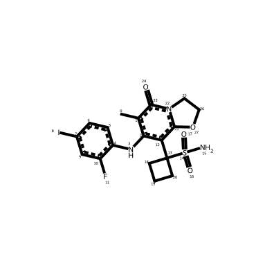 Cc1c(Nc2ccc(I)cc2F)c(C2(S(N)(=O)=O)CCC2)c2n(c1=O)CCO2